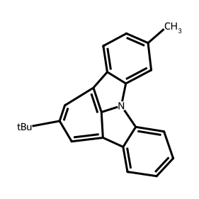 Cc1ccc2c3cc(C(C)(C)C)cc4c5ccccc5n(c2c1)c43